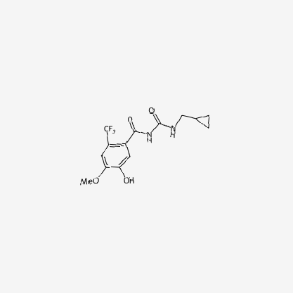 COc1cc(C(F)(F)F)c(C(=O)NC(=O)NCC2CC2)cc1O